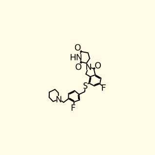 O=C1CCC(N2Cc3c(SCc4ccc(CN5CCCCC5)c(F)c4)cc(F)cc3C2=O)C(=O)N1